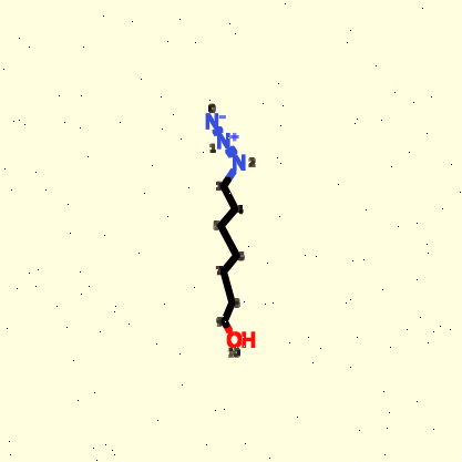 [N-]=[N+]=NCCCCCCCO